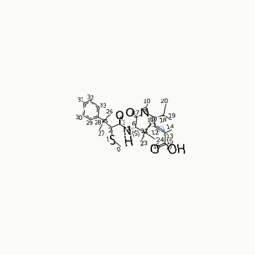 CSC(C(=O)N[C@H](C(=O)N(C)[C@H](/C=C(\C)C(=O)O)C(C)C)C(C)(C)C)C(C)(C)c1ccccc1